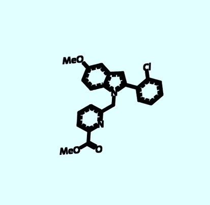 COC(=O)c1cccc(Cn2c(-c3ccccc3Cl)cc3cc(OC)ccc32)n1